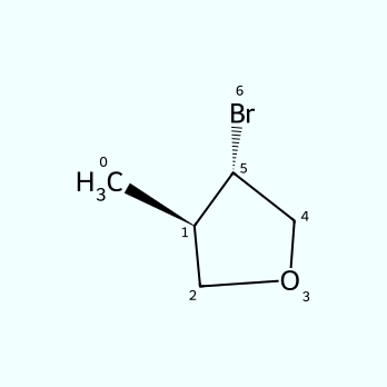 C[C@@H]1COC[C@H]1Br